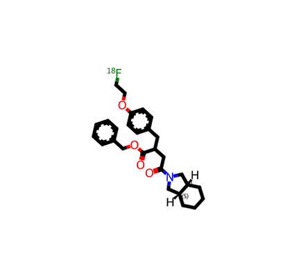 O=C(OCc1ccccc1)C(CC(=O)N1C[C@H]2CCCC[C@H]2C1)Cc1ccc(OCC[18F])cc1